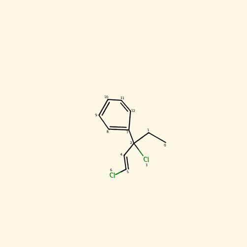 CCC(Cl)(C=CCl)c1ccccc1